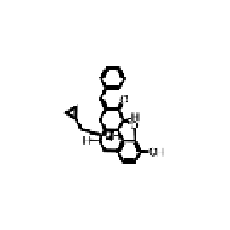 O=C1/C(=C\c2ccccc2)C[C@@]2(O)[C@H]3Cc4ccc(O)c5c4[C@@]2(CCN3CC2CC2)[C@H]1O5